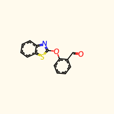 O=Cc1ccccc1Oc1nc2ccccc2s1